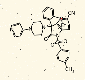 CCOc1ccccc1C1(N2CCN(c3ccncc3)CC2)C(=O)N(S(=O)(=O)c2ccc(C)cc2)c2ccc(C#N)cc21